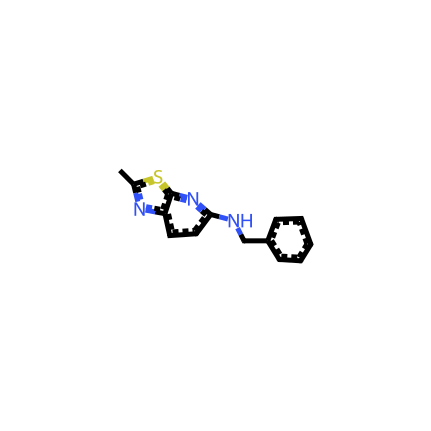 Cc1nc2ccc(NCc3ccccc3)nc2s1